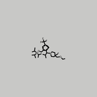 CCOCC1(F)CCN(C(c2ccc(C(F)(F)F)cc2CO[Si](C(C)C)(C(C)C)C(C)C)C(C)C)CC1